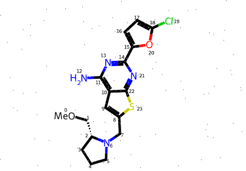 COC[C@H]1CCCN1Cc1cc2c(N)nc(-c3ccc(Cl)o3)nc2s1